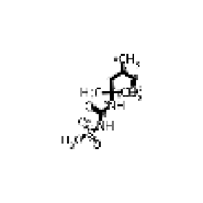 CC(C=O)CC(C)(C)NC(=O)NS(C)(=O)=O